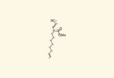 C=CCCCCCCC(C=CC#N)C(=O)OC